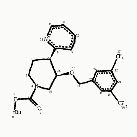 CC(C)(C)OC(=O)N1CC[C@@H](c2ccccn2)[C@@H](OCc2cc(C(F)(F)F)cc(C(F)(F)F)c2)C1